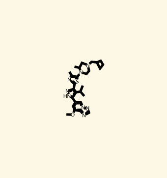 COc1cc(-c2[nH]nc(-c3nc(C)c(N4CCN(CC5CCC5)CC4C)s3)c2C(C)C)cn2ncnc12